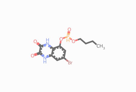 CCCCO[PH](=O)Oc1cc(Br)cc2[nH]c(=O)c(=O)[nH]c12